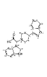 CCC(=O)C(N1CCC(c2noc3ccccc23)CC1)N1CNc2ccccc21